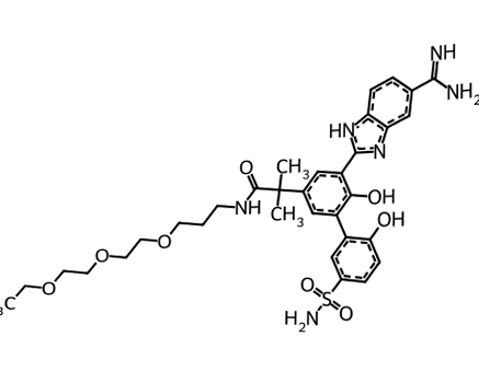 CCOCCOCCOCCCNC(=O)C(C)(C)c1cc(-c2nc3cc(C(=N)N)ccc3[nH]2)c(O)c(-c2cc(S(N)(=O)=O)ccc2O)c1